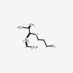 C=C(C)C(=O)OCCCN.C=CC(=O)O